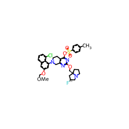 COCOc1cc(N2CCc3c(nc(OC[C@@]45CCCN4C[C@H](F)C5)nc3OS(=O)(=O)c3ccc(C)cc3)C2)c2c(Cl)cccc2c1